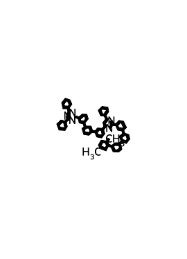 Cc1ccc(C)c(-c2cccc(-c3cccc(-c4cccc(-c5nc(-c6ccccc6)cc(-c6cccc(-c7cccc(-c8cccc(-c9nc(-c%10ccccc%10)nc(-c%10ccccc%10)n9)c8)c7)c6)n5)c4)c3)c2)c1